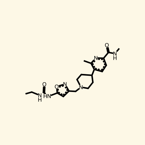 CCNC(=O)Nc1cc(CN2CCC(c3ccc(C(=O)NC)nc3C)CC2)no1